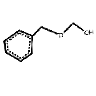 OCOCc1ccccc1